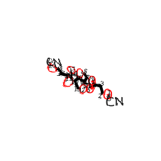 N#COCCC(=O)O[C@H]1CO[C@H]2[C@@H]1OC[C@@H]2OC(=O)CCOC#N